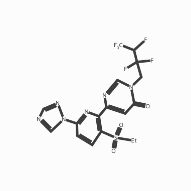 CCS(=O)(=O)c1ccc(-n2cncn2)nc1-c1cc(=O)n(CC(F)(F)C(F)C(F)(F)F)cn1